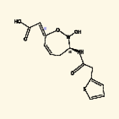 O=C(O)/C=C1\C=CC[C@H](NC(=O)Cc2cccs2)B(O)O1